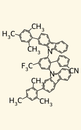 Cc1cc(C)c(-c2ccc3c4ccccc4n(-c4cc(C(F)(F)F)cc(-n5c6ccccc6c6ccc(-c7c(C)cc(C)cc7C)cc65)c4-c4cccc(C#N)c4)c3c2)c(C)c1